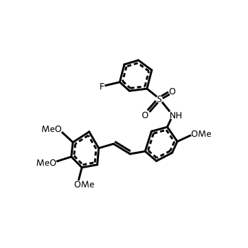 COc1ccc(C=Cc2cc(OC)c(OC)c(OC)c2)cc1NS(=O)(=O)c1cccc(F)c1